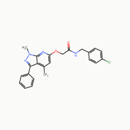 Cn1nc(-c2ccccc2)c2c(C(F)(F)F)cc(OCC(=O)NCc3ccc(Cl)cc3)nc21